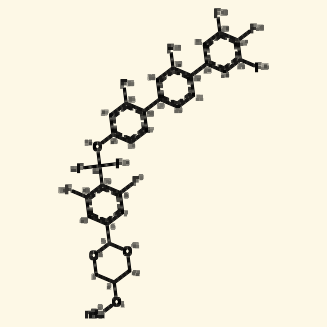 CCCCOC1COC(c2cc(F)c(C(F)(F)Oc3ccc(-c4ccc(-c5cc(F)c(F)c(F)c5)c(F)c4)c(F)c3)c(F)c2)OC1